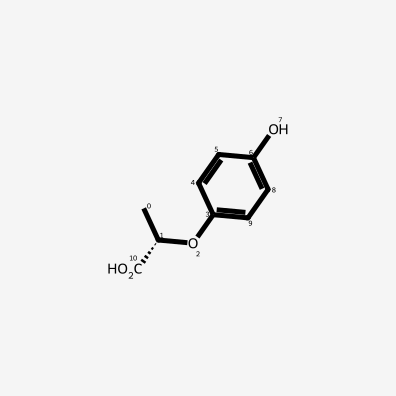 C[C@H](Oc1ccc(O)cc1)C(=O)O